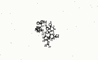 COc1cccc([C@@H]2O[C@@H](CCn3nnnc3CC(=O)O)c3ccc(CC(C)C)n3-c3ccc(Cl)cc32)c1OC